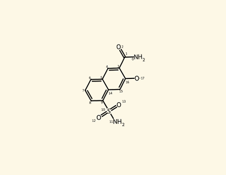 NC(=O)c1cc2cccc(S(N)(=O)=O)c2cc1[O]